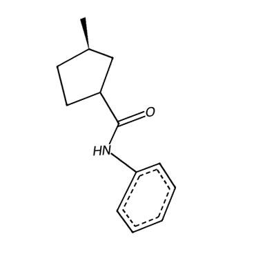 C[C@@H]1CCC(C(=O)Nc2ccccc2)C1